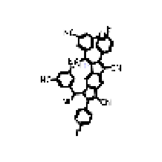 N#CC1=C(c2ccc(F)cc2)/C(=C(/C#N)c2cc(C#N)cc(C#N)c2)c2cc3c(cc21)C(C#N)=C(c1ccc(F)cc1)C3C(C#N)c1cc(C#N)cc(C#N)c1